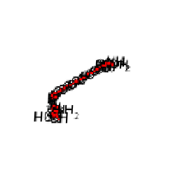 CCOCc1nc2c(N)nc3cc(CCCN4CCN(CCOCCOCCOCCOCCOCCOCCOCCOCCOCCOCCN5C(=O)C[C@@H](SC[C@H](N)C(=O)O)C5=O)CC4)ccc3c2n1CC(C)(CO)CO